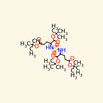 CC(C)(C)OC(=O)CC[C@H](NS(=O)(=O)N[C@@H](CCC(=O)OC(C)(C)C)C(=O)OC(C)(C)C)C(=O)OC(C)(C)C